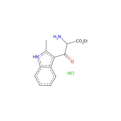 CCOC(=O)C(N)C(=O)c1c(C)[nH]c2ccccc12.Cl